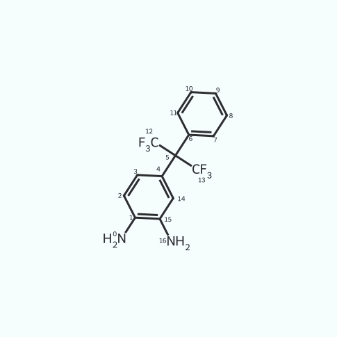 Nc1ccc(C(c2ccccc2)(C(F)(F)F)C(F)(F)F)cc1N